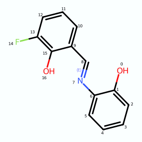 Oc1ccccc1/N=C/c1cccc(F)c1O